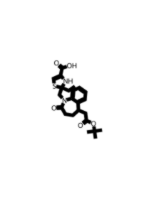 CCC1(CN2C(=O)CCC(CC(=O)OC(C)(C)C)c3ccccc32)NC(C(=O)O)=CS1